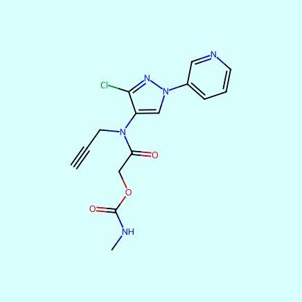 C#CCN(C(=O)COC(=O)NC)c1cn(-c2cccnc2)nc1Cl